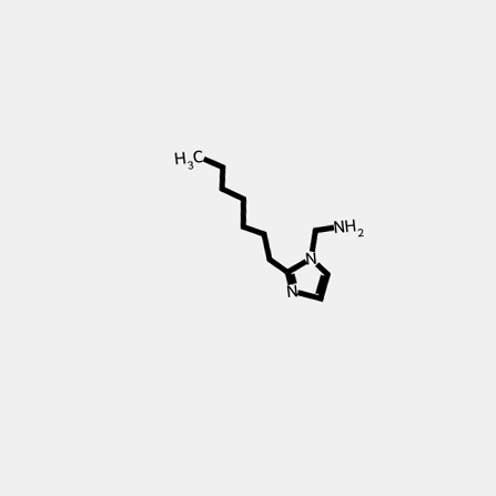 CCCCCCCc1nccn1CN